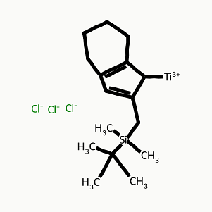 CC(C)(C)[Si](C)(C)CC1=CC2=C(CCCC2)[CH]1[Ti+3].[Cl-].[Cl-].[Cl-]